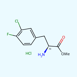 COC(=O)[C@@H](N)Cc1ccc(F)c(Cl)c1.Cl